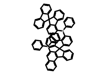 c1ccc(N(c2ccccc2)c2cc3ccccc3c3c2C2(c4ccccc4-c4c(N(c5ccccc5)c5cccc6c5-c5ccccc5C65c6ccccc6-c6ccccc65)cccc42)c2ccccc2-3)cc1